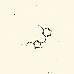 Cc1c(CO)n[nH]c1Oc1cccc(Cl)c1